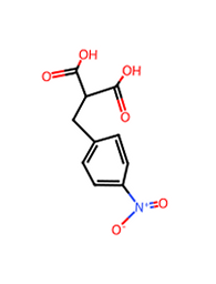 O=C(O)C(Cc1ccc([N+](=O)[O-])cc1)C(=O)O